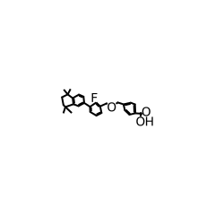 CC1(C)CCC(C)(C)c2cc(-c3cccc(COCc4ccc(C(=O)O)cc4)c3F)ccc21